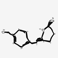 O=C1CC/C(=C/c2ccc(Cl)cc2)O1